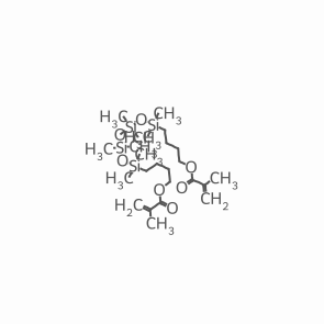 C=C(C)C(=O)OCCCC[Si](C)(C)O[Si](C)(C)O[Si](C)(C)O[Si](C)(C)CCCCOC(=O)C(=C)C